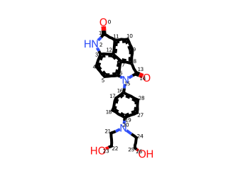 O=C1Nc2ccc3c4c(ccc1c24)C(=O)N3c1ccc(N(CCO)CCO)cc1